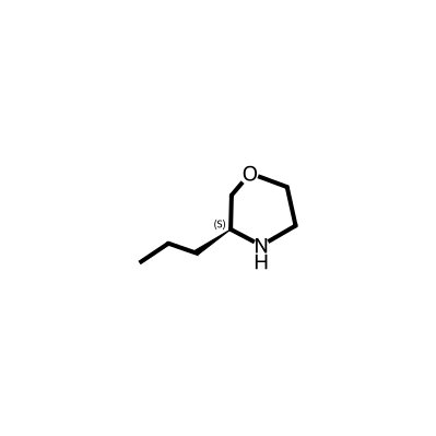 CCC[C@H]1COCCN1